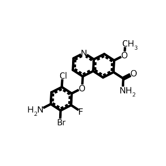 COc1cc2nccc(Oc3c(Cl)cc(N)c(Br)c3F)c2cc1C(N)=O